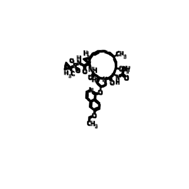 CCOc1ccc2c(O[C@@H]3C[C@H]4C(=O)NC5(C(=O)NS(=O)(=O)C6(C)CC6)C[C@H]5/C=C\CC[C@H](C)C[C@@H](C)[C@H](NC(=O)O)C(=O)N4C3)nccc2c1